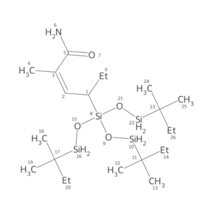 CCC(C=C(C)C(N)=O)[Si](O[SiH2]C(C)(C)CC)(O[SiH2]C(C)(C)CC)O[SiH2]C(C)(C)CC